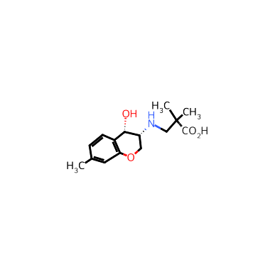 Cc1ccc2c(c1)OC[C@@H](NCC(C)(C)C(=O)O)[C@H]2O